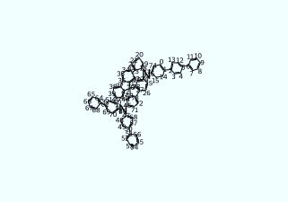 C1=C(c2ccc(-c3ccccc3)cc2)CCC(N(c2ccccc2)c2ccc3c(c2)C2(c4ccccc4-c4ccccc42)c2cc(N(c4ccc(-c5ccccc5)cc4)c4ccc(-c5ccccc5)cc4)ccc2-3)=C1